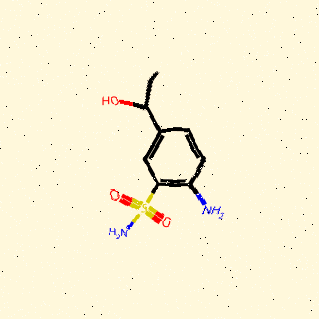 CC(O)c1ccc(N)c(S(N)(=O)=O)c1